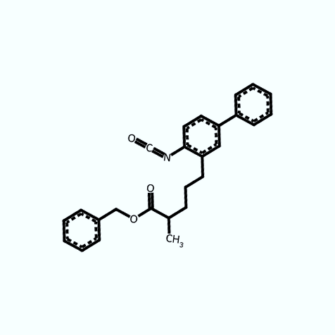 CC(CCCc1cc(-c2ccccc2)ccc1N=C=O)C(=O)OCc1ccccc1